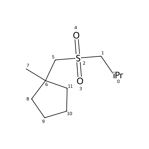 CC(C)CS(=O)(=O)CC1(C)CCCC1